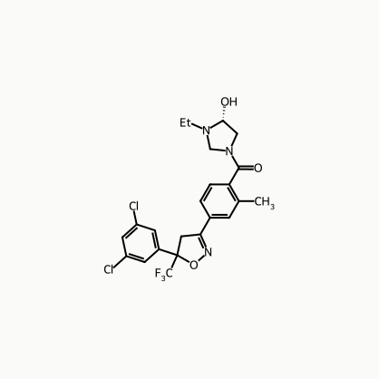 CCN1CN(C(=O)c2ccc(C3=NOC(c4cc(Cl)cc(Cl)c4)(C(F)(F)F)C3)cc2C)C[C@H]1O